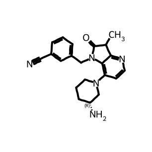 CC1C(=O)N(Cc2cccc(C#N)c2)c2c(N3CCC[C@@H](N)C3)ccnc21